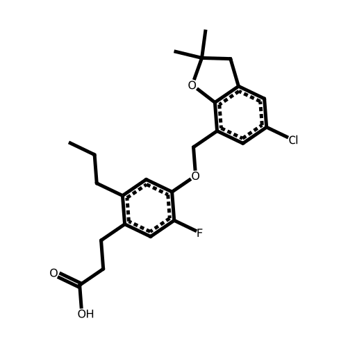 CCCc1cc(OCc2cc(Cl)cc3c2OC(C)(C)C3)c(F)cc1CCC(=O)O